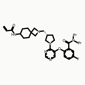 C=CC(=O)NC1CCC2(CC1)CN(C[C@@H]1CCN(c3ncncc3Oc3ccc(F)cc3C(=O)N(C(C)C)C(C)C)C1)C2